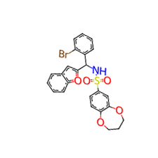 O=S(=O)(NC(c1cc2ccccc2o1)c1ccccc1Br)c1ccc2c(c1)OCCCO2